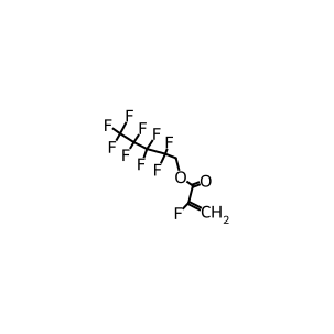 C=C(F)C(=O)OCC(F)(F)C(F)(F)C(F)(F)C(F)(F)F